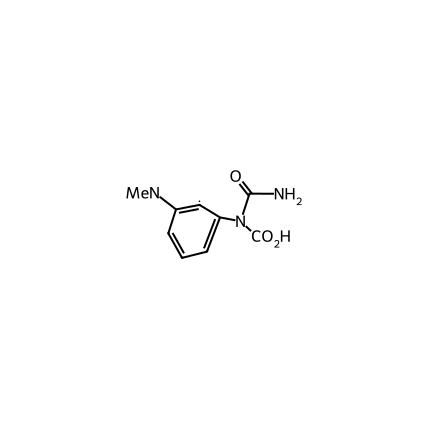 CNc1[c]c(N(C(N)=O)C(=O)O)ccc1